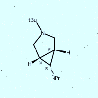 CC(C)[C@@H]1[C@@H]2CN(C(C)(C)C)C[C@@H]21